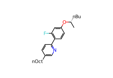 CCCCCCCCc1ccc(-c2ccc(O[C@@H](C)CCCC)cc2F)nc1